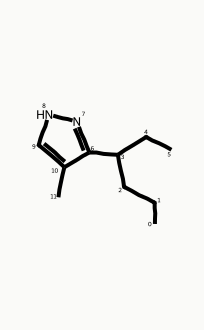 CCCC(CC)c1n[nH]cc1C